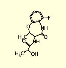 C[C@H](O)C(=O)N[C@@H]1C(=O)Nc2c(F)cccc2O[C@@H]1C